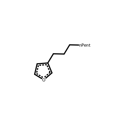 CCCCCCCCc1ccoc1